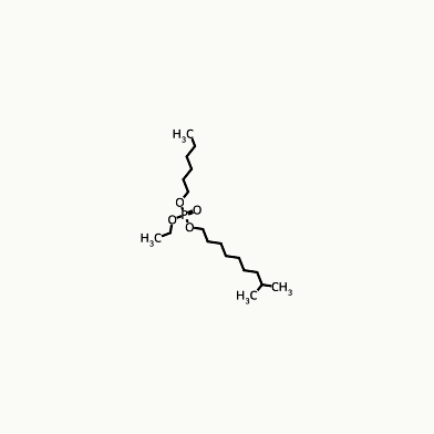 CCCCCCOP(=O)(OCC)OCCCCCCCC(C)C